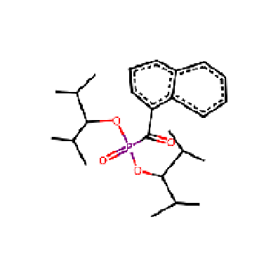 CC(C)C(OP(=O)(OC(C(C)C)C(C)C)C(=O)c1cccc2ccccc12)C(C)C